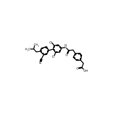 CC(C)Cc1ccc(-c2c(Cl)cc(NC(=O)Cc3ccc(CC(=O)O)cc3)cc2Cl)cc1C#N